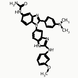 COc1cccc(Nc2nc3cc(-n4c(-c5ccc(N(C)C)cc5)nc5cc(NC(N)=O)ccc54)ccc3[nH]2)c1